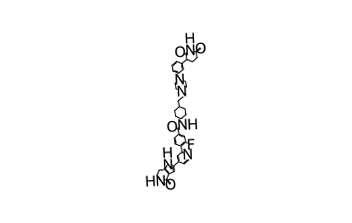 O=C1CCC(c2cccc(N3CCN(CCC4CCC(NC(=O)c5ccc(-c6cc(-c7cc8c([nH]7)CCNC8=O)ccn6)c(F)c5)CC4)CC3)c2)C(=O)N1